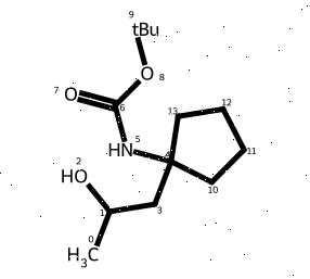 CC(O)CC1(NC(=O)OC(C)(C)C)CCCC1